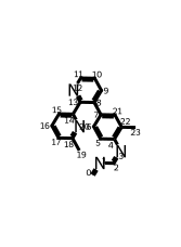 C=N/C=N\c1ccc(-c2cccnc2-c2cccc(C)n2)cc1C